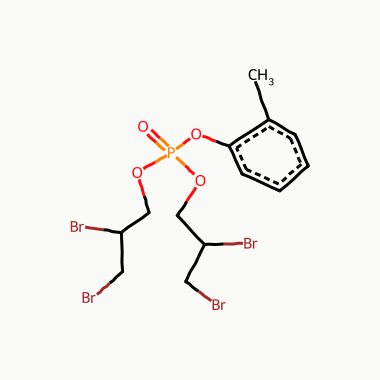 Cc1ccccc1OP(=O)(OCC(Br)CBr)OCC(Br)CBr